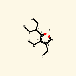 CCc1coc(C(CC)CC)c1CC